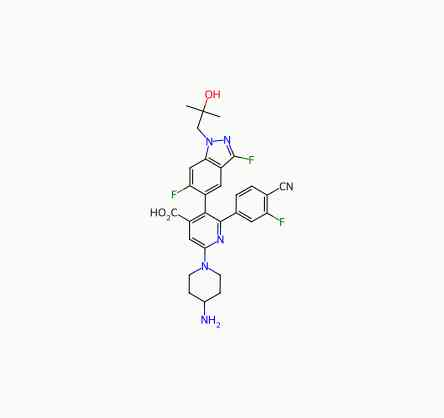 CC(C)(O)Cn1nc(F)c2cc(-c3c(C(=O)O)cc(N4CCC(N)CC4)nc3-c3ccc(C#N)c(F)c3)c(F)cc21